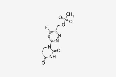 CS(=O)(=O)OCc1nnc(N2CCC(=O)NC2=O)cc1F